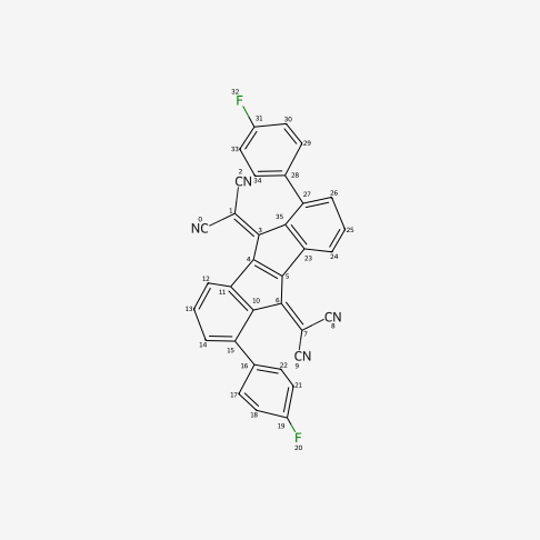 N#CC(C#N)=C1C2=C(C(=C(C#N)C#N)c3c2cccc3-c2ccc(F)cc2)c2cccc(-c3ccc(F)cc3)c21